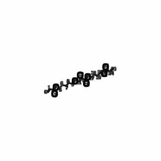 C=CC(=O)OCCCCCOCC(=O)C(=O)OCCCCOC(=O)C=C